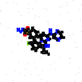 C[C@H](Nc1nc(Nc2cnccn2)cc(-c2ccc(S(N)(=O)=O)cc2)n1)c1ccc(F)cc1